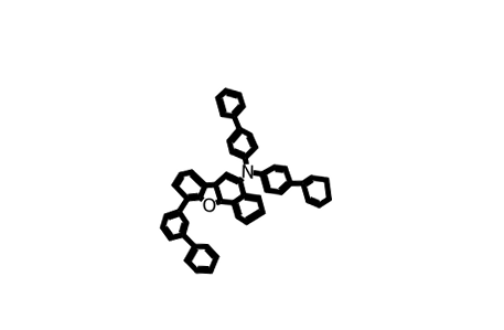 C1=CC(c2ccc(N(C3=CC4c5cccc(-c6cccc(-c7ccccc7)c6)c5OC4c4ccccc43)c3ccc(-c4ccccc4)cc3)cc2)=CCC1